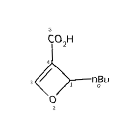 CCCCC1OC=C1C(=O)O